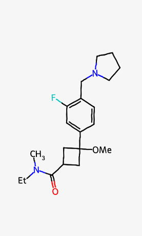 CCN(C)C(=O)C1CC(OC)(c2ccc(CN3CCCC3)c(F)c2)C1